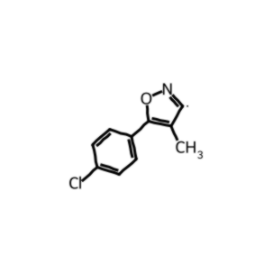 Cc1[c]noc1-c1ccc(Cl)cc1